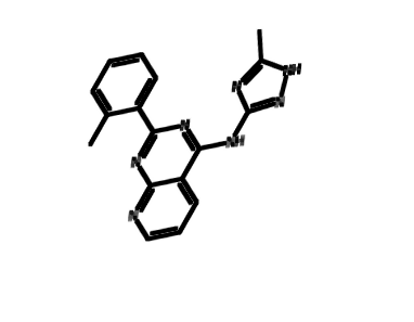 Cc1nc(Nc2nc(-c3ccccc3C)nc3ncccc23)n[nH]1